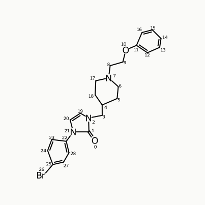 O=c1n(CC2CCN(CCOc3ccccc3)CC2)ccn1-c1ccc(Br)cc1